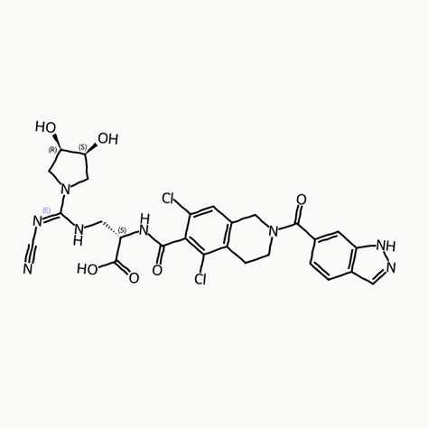 N#C/N=C(\NC[C@H](NC(=O)c1c(Cl)cc2c(c1Cl)CCN(C(=O)c1ccc3cn[nH]c3c1)C2)C(=O)O)N1C[C@@H](O)[C@@H](O)C1